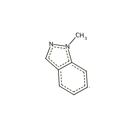 Cn1ncc2cc[c]cc21